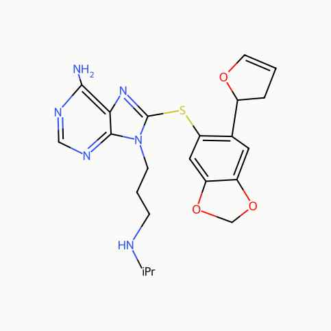 CC(C)NCCCn1c(Sc2cc3c(cc2C2CC=CO2)OCO3)nc2c(N)ncnc21